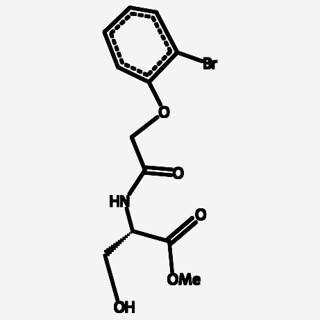 COC(=O)[C@H](CO)NC(=O)COc1ccccc1Br